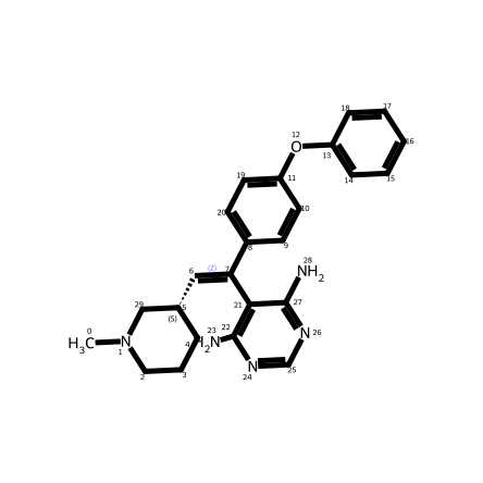 CN1CCC[C@@H](/C=C(/c2ccc(Oc3ccccc3)cc2)c2c(N)ncnc2N)C1